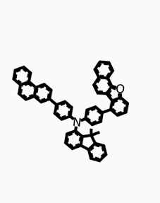 CC1(C)c2ccccc2-c2cccc(N(c3ccc(-c4ccc5c(ccc6ccccc65)c4)cc3)c3ccc(-c4cccc5oc6c7ccccc7ccc6c45)cc3)c21